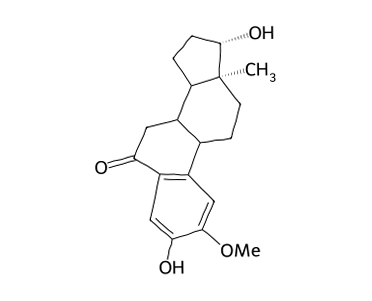 COc1cc2c(cc1O)C(=O)CC1C2CC[C@@]2(C)C1CC[C@@H]2O